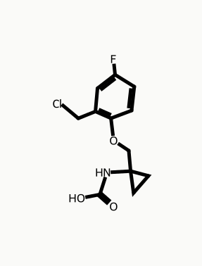 O=C(O)NC1(COc2ccc(F)cc2CCl)CC1